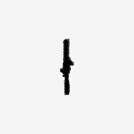 C#Cc1sc(CCCCCCCCCCCCCC)cc1-c1cc2sc(-c3cc(CCCCCCCCCCCCCC)sc3C#C)cc2s1